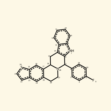 Fc1ccc(C2c3[nH]c4ccccc4c3CC3c4cc5sccc5cc4CCN32)cc1